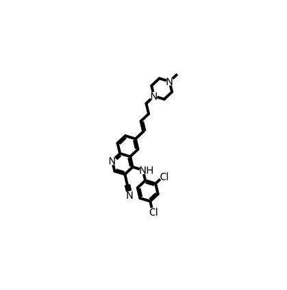 CN1CCN(CC/C=C/c2ccc3ncc(C#N)c(Nc4ccc(Cl)cc4Cl)c3c2)CC1